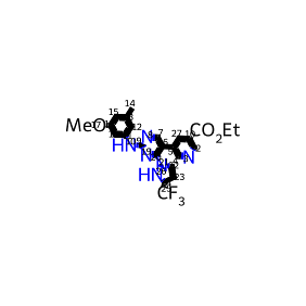 CCOC(=O)c1cncc(-c2cnc(Nc3cc(C)cc(OC)c3)nc2N2C=CC(C(F)(F)F)N2)c1